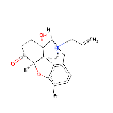 C=CCN1CC[C@]23c4c5ccc(C(C)C)c4O[C@H]2C(=O)CC[C@@]3(O)[C@H]1C5